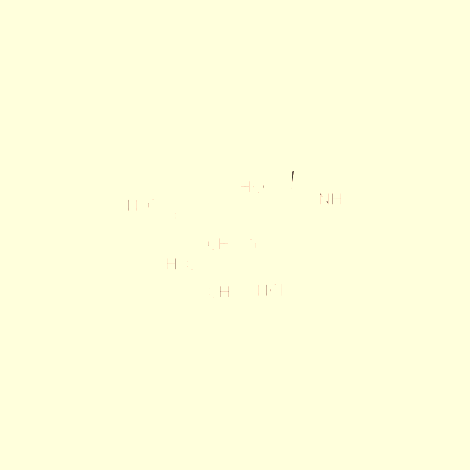 COCCCC[C@](O)(c1ccccc1OCC(C)(C)C)[C@H]1CCCNC1.Cl